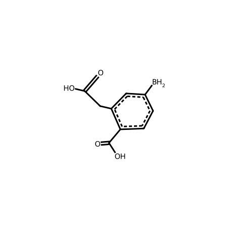 Bc1ccc(C(=O)O)c(CC(=O)O)c1